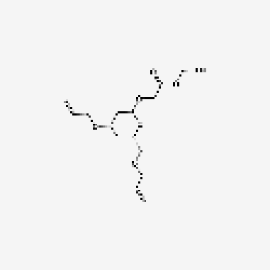 C=CCOC[C@@H]1CC(OCC=C)CC(OCC(=O)OCC#N)O1